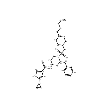 COCCCN1CCC(CS(=O)(=O)N2CC[C@H](NC(=O)c3cc(C4CC4)on3)C[C@@H]2Cc2ccccc2)CC1